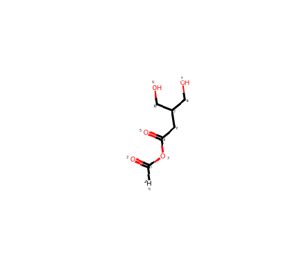 [2H]C(=O)OC(=O)CC(CO)CO